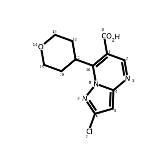 O=C(O)c1cnc2cc(Cl)nn2c1C1CCOCC1